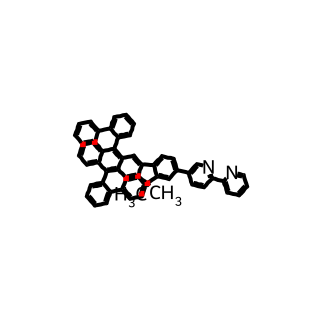 CC1(C)c2cc(-c3ccc(-c4ccccn4)nc3)ccc2-c2cc3c(-c4ccccc4-c4ccccc4)c4ccccc4c(-c4ccccc4-c4ccccc4)c3cc21